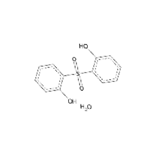 O.O=S(=O)(c1ccccc1O)c1ccccc1O